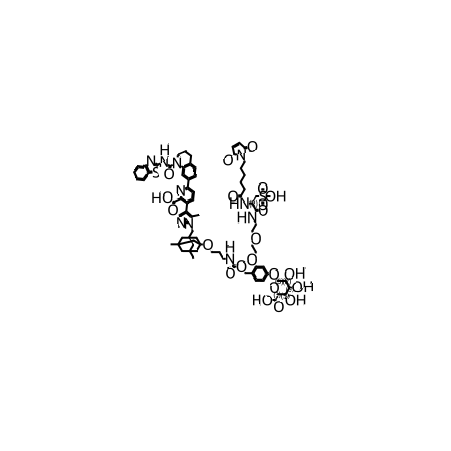 Cc1c(-c2ccc(-c3ccc4c(c3)N(C(=O)Nc3nc5ccccc5s3)CCC4)nc2C(=O)O)cnn1CC12CC3(C)CC(C)(C1)CC(OCCCNC(=O)OCc1ccc(O[C@@H]4O[C@H](C(=O)O)[C@@H](O)[C@H](O)[C@H]4O)cc1OCCOCCNC(=O)[C@H](CS(=O)(=O)O)NC(=O)CCCCCN1C(=O)C=CC1=O)(C3)C2